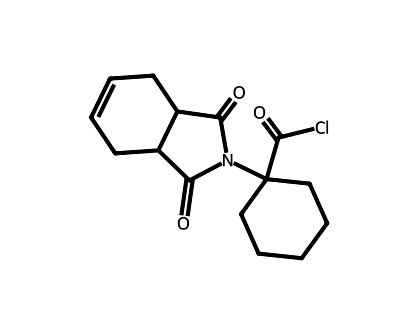 O=C1C2CC=CCC2C(=O)N1C1(C(=O)Cl)CCCCC1